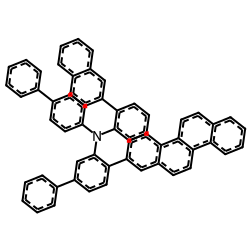 c1ccc(-c2ccc(N(c3ccccc3-c3ccc4ccccc4c3)c3cc(-c4ccccc4)ccc3-c3ccc4c(ccc5c6ccccc6ccc45)c3)cc2)cc1